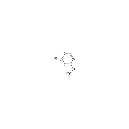 [CH2]CC1=CC(=S)CC=C1